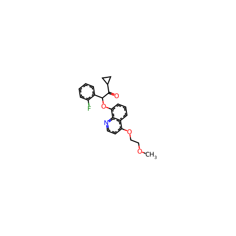 COCCOc1ccnc2c(OC(C(=O)C3CC3)c3ccccc3F)cccc12